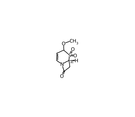 COC1C=CN2C(=O)C[C@H]2S1(=O)=O